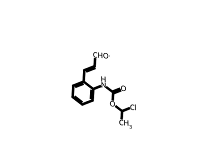 CC(Cl)OC(=O)Nc1ccccc1/C=C/[C]=O